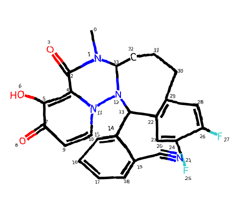 CN1C(=O)c2c(O)c(=O)ccn2N2C(c3ccccc3C#N)c3cc(F)c(F)cc3CCCC12